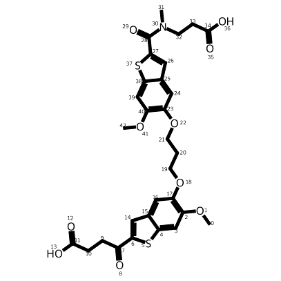 COc1cc2sc(C(=O)CCC(=O)O)cc2cc1OCCCOc1cc2cc(C(=O)N(C)CCC(=O)O)sc2cc1OC